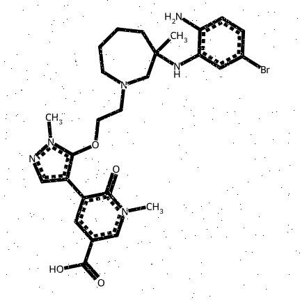 Cn1ncc(-c2cc(C(=O)O)cn(C)c2=O)c1OCCN1CCCCC(C)(Nc2cc(Br)ccc2N)C1